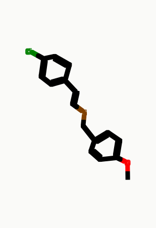 COc1ccc(CSC=Cc2ccc(Cl)cc2)cc1